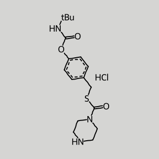 CC(C)(C)NC(=O)Oc1ccc(CSC(=O)N2CCNCC2)cc1.Cl